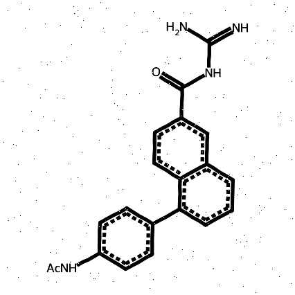 CC(=O)Nc1ccc(-c2cccc3cc(C(=O)NC(=N)N)ccc23)cc1